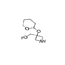 OCC1(OC2CCCCO2)CNC1